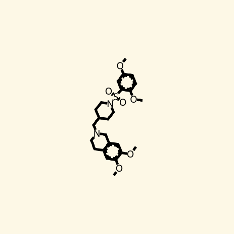 COc1ccc(OC)c(S(=O)(=O)N2CCC(CN3CCc4cc(OC)c(OC)cc4C3)CC2)c1